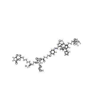 CC1=CC(/C=C/c2ccc(OCCCC(=O)NC(CSOOO)C(=O)NCCN(C)CCCCCC(=O)ON3C(=O)CCC3=O)cc2)=[N+]2C1=Cc1c(CCC[N+](C)(C)C)cc(-c3cccs3)n1[B-]2(F)F